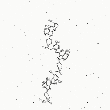 CC(=O)N1CCC(n2nc(-c3cc4c(Cl)c(CC(=O)N5CCC(n6nc(-c7cc8c(CC(C)N9CCC(n%10nc(-c%11cc%12cccc(O)c%12[nH]%11)c%11c(N)ncnc%11%10)CC9)cc(O)cc8[nH]7)c7c(N)ncnc76)CC5)cc(O)c4[nH]3)c3c(N)ncnc32)CC1